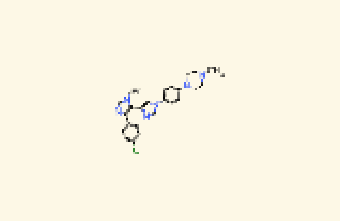 CC(C)n1cnc(-c2ccc(Cl)cc2)c1-c1cn(-c2ccc(N3CCN(C)CC3)cc2)cn1